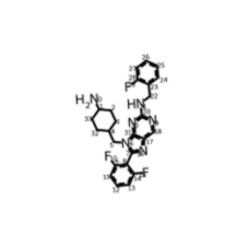 NC1CCC(Cn2c(-c3c(F)cccc3F)nc3cnc(NCc4ccccc4F)nc32)CC1